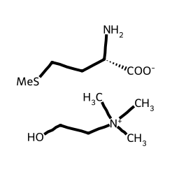 CSCC[C@H](N)C(=O)[O-].C[N+](C)(C)CCO